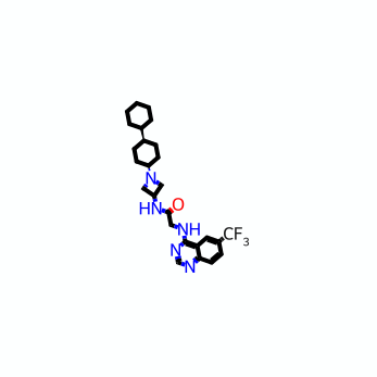 O=C(CNc1ncnc2ccc(C(F)(F)F)cc12)NC1CN([C@H]2CC[C@H](C3CCCCC3)CC2)C1